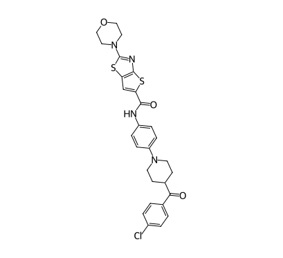 O=C(Nc1ccc(N2CCC(C(=O)c3ccc(Cl)cc3)CC2)cc1)c1cc2sc(N3CCOCC3)nc2s1